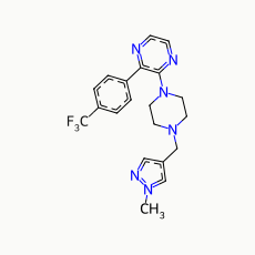 Cn1cc(CN2CCN(c3nccnc3-c3ccc(C(F)(F)F)cc3)CC2)cn1